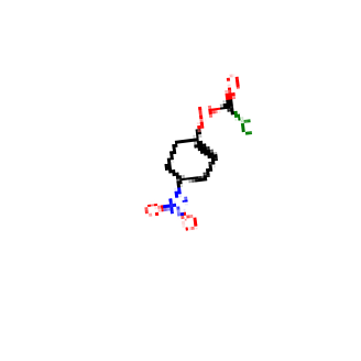 O=C(Cl)OC1=CCC([N+](=O)[O-])CC1